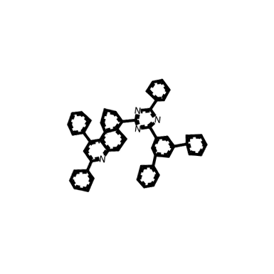 c1ccc(-c2cc(-c3ccccc3)cc(-c3nc(-c4ccccc4)nc(-c4cccc5c4ccc4nc(-c6ccccc6)cc(-c6ccccc6)c45)n3)c2)cc1